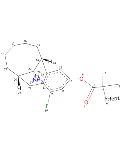 CCCCCCCC(C)(C)C(=O)Oc1cc(F)c2c(c1)[C@H]1CCCCC[C@@H](C2)[C@@H]1N